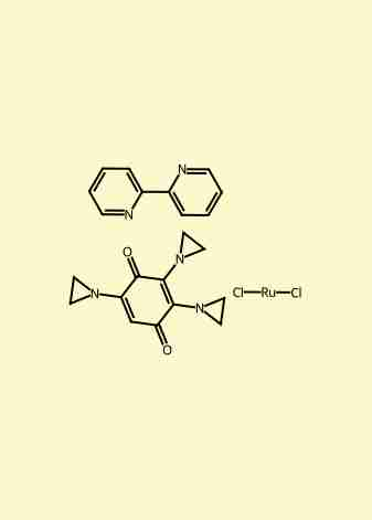 O=C1C=C(N2CC2)C(=O)C(N2CC2)=C1N1CC1.[Cl][Ru][Cl].c1ccc(-c2ccccn2)nc1